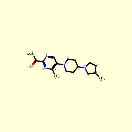 CNC(=O)c1ncc(N2CCC(N3CCC(C)C3)CC2)c(C(F)(F)F)n1